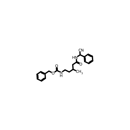 CC(CCNC(=O)OCc1ccccc1)CC(=O)NC(C#N)c1ccccc1